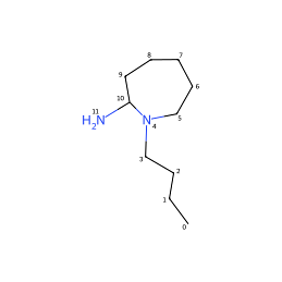 CCCCN1CCCCCC1N